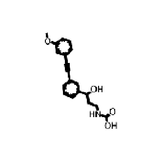 COc1cccc(C#Cc2cccc(C(O)CCNC(=O)O)c2)c1